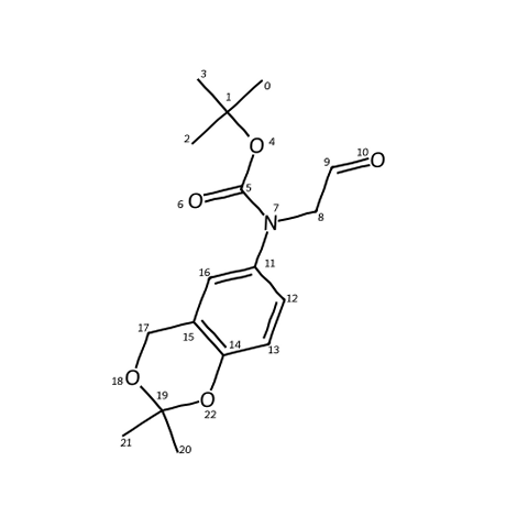 CC(C)(C)OC(=O)N(CC=O)c1ccc2c(c1)COC(C)(C)O2